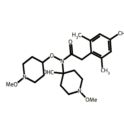 CON1CCC(ON(C(=O)Cc2c(C)cc(C)cc2C)C2(C=O)CCN(OC)CC2)CC1